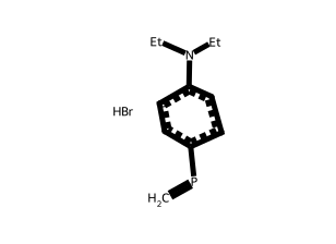 Br.C=Pc1ccc(N(CC)CC)cc1